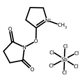 C[N+]1=C(ON2C(=O)CCC2=O)CCC1.[Cl][Sb-]([Cl])([Cl])([Cl])([Cl])[Cl]